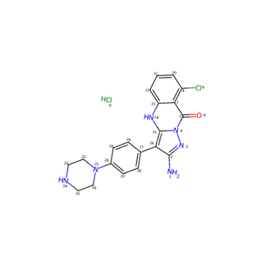 Cl.Nc1nn2c(=O)c3c(Cl)cccc3[nH]c2c1-c1ccc(N2CCNCC2)cc1